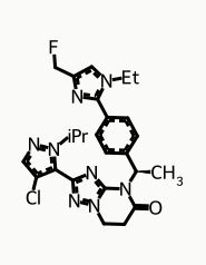 CCn1cc(CF)nc1-c1ccc([C@@H](C)N2C(=O)CCn3nc(-c4c(Cl)cnn4C(C)C)nc32)cc1